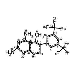 Cc1c(-c2cc(C(F)(F)F)cc(C(F)(F)F)c2)ccc2nc(N)nc(N)c12